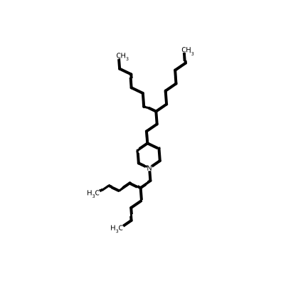 CCCCCCC(CCCCCC)CCC1CCN(CC(CCCC)CCCC)CC1